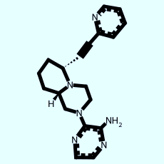 Nc1nccnc1N1CCN2[C@@H](CCC[C@@H]2C#Cc2ccccn2)C1